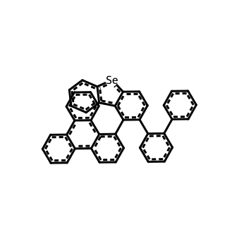 c1ccc(-c2ccccc2-c2ccc3[se]c4ccccc4c3c2-c2cccc3c4ccccc4c4ccccc4c23)cc1